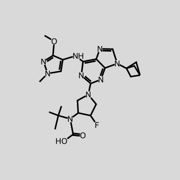 COc1nn(C)cc1Nc1nc(N2CC(F)C(N(C(=O)O)C(C)(C)C)C2)nc2c1ncn2C12CC(C1)C2